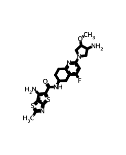 COC1CN(c2cc(F)c3c(n2)CCC(NC(=O)c2sc4nc(C)sc4c2N)C3)CC1N